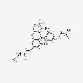 C[C@@H]1Cc2cc(OCC(=O)NC3CC3)ccc2[C@@H](c2c(F)cc(/C=C/C(=O)O)cc2F)N1CC(C)(C)F